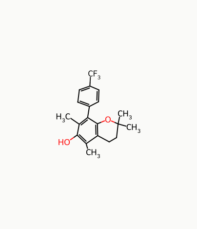 Cc1c(O)c(C)c(-c2ccc(C(F)(F)F)cc2)c2c1CCC(C)(C)O2